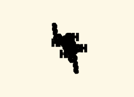 CCCCC[C@H]1CC[C@H](NC(=O)c2ccc(C(=O)N[C@H]3CC[C@H](CCCCC)CC3)c3c(C(=O)O)ccc(C(=O)O)c23)CC1